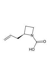 C=CC[C@H]1CCN1C(=O)O